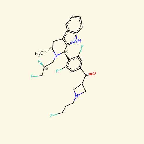 C[C@@H]1Cc2c([nH]c3ccccc23)[C@@H](c2c(F)cc(C(=O)C3CN(CCCF)C3)cc2F)N1C[C@H](F)CF